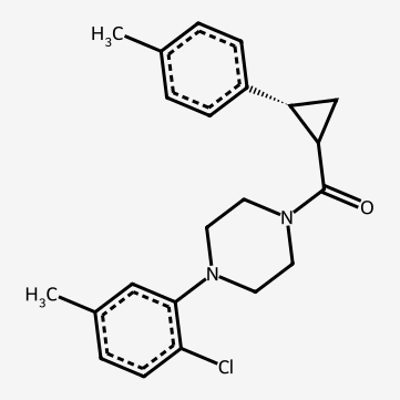 Cc1ccc([C@@H]2CC2C(=O)N2CCN(c3cc(C)ccc3Cl)CC2)cc1